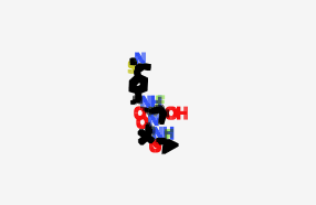 Cc1ncsc1-c1ccc([C@H](C)NC(=O)[C@@H]2[C@@H](F)[C@@H](O)CN2C(=O)[C@@H](NC(=O)C2(F)CC2)C(C)(C)C)cc1